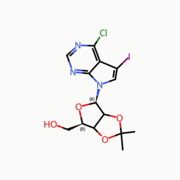 CC1(C)OC2C(O1)[C@@H](CO)O[C@H]2n1cc(I)c2c(Cl)ncnc21